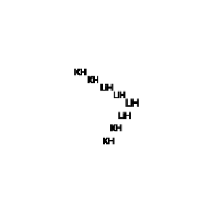 [KH].[KH].[KH].[KH].[LiH].[LiH].[LiH].[LiH]